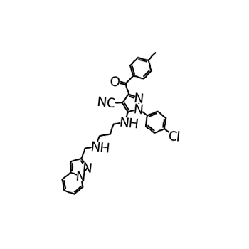 Cc1ccc(C(=O)c2nn(-c3ccc(Cl)cc3)c(NCCCNCc3cc4ccccn4n3)c2C#N)cc1